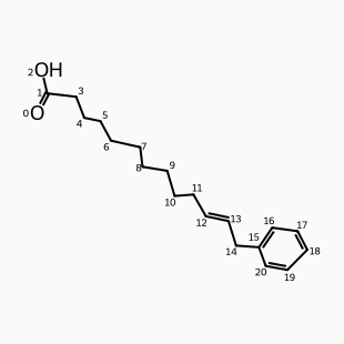 O=C(O)CCCCCCCCCC=CCc1ccccc1